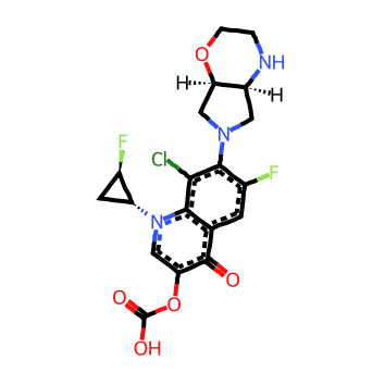 O=C(O)Oc1cn([C@@H]2C[C@H]2F)c2c(Cl)c(N3C[C@@H]4NCCO[C@@H]4C3)c(F)cc2c1=O